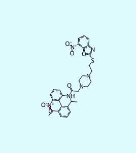 CC(C)c1cccc(C(C)C)c1-c1c(NC(=O)CN2CCN(CCSc3nc4cccc([N+](=O)[O-])c4o3)CC2)cccc1[N+](=O)[O-]